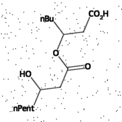 CCCCCC(O)CC(=O)OC(CCCC)CC(=O)O